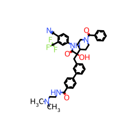 CN(C)CCNC(=O)c1ccc(-c2cccc(CC(O)(C(=O)Nc3ccc(C#N)c(C(F)(F)F)c3)C3CCN(C(=O)c4ccccc4)CC3)c2)cc1